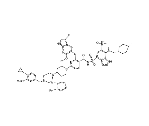 CCOc1nc2[nH]cc(F)c2cc1Oc1cc(N2CCC(N3CCN(Cc4ccc(C5CC5)c(OC)c4)C[C@H]3c3ccccc3C(C)C)CC2)ccc1C(=O)NS(=O)(=O)c1cc([NH+](C)[O-])c(NC[C@H]2CC[C@@H](C)CC2)c2[nH]ccc12